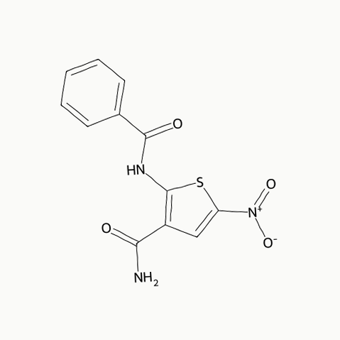 NC(=O)c1cc([N+](=O)[O-])sc1NC(=O)c1ccccc1